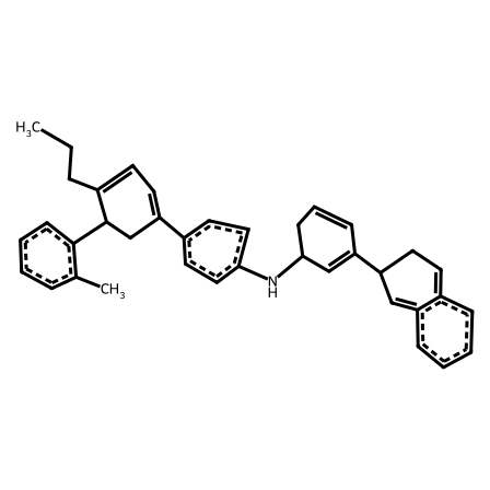 CCCC1=CC=C(c2ccc(NC3C=C(C4C=c5ccccc5=CC4)C=CC3)cc2)CC1c1ccccc1C